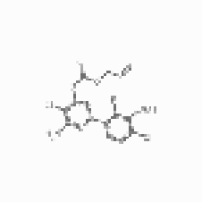 C=CCOC(=O)Oc1nc(-c2ccc(Cl)c(OC)c2F)nc(N)c1Cl